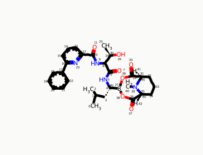 CC(C)C[C@H](NC(=O)C(NC(=O)c1cccc(-c2ccccc2)n1)[C@@H](C)O)B1OC(=O)[C@H]2CCC[C@H](C(=O)O1)N2C